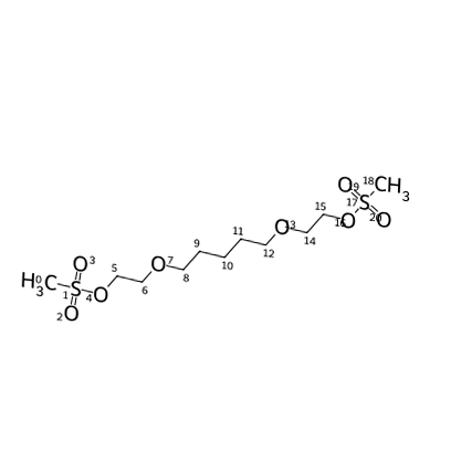 CS(=O)(=O)OCCOCCCCCOCCOS(C)(=O)=O